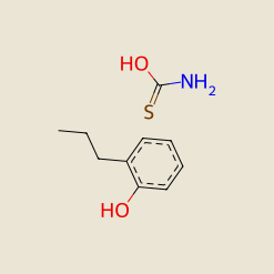 CCCc1ccccc1O.NC(O)=S